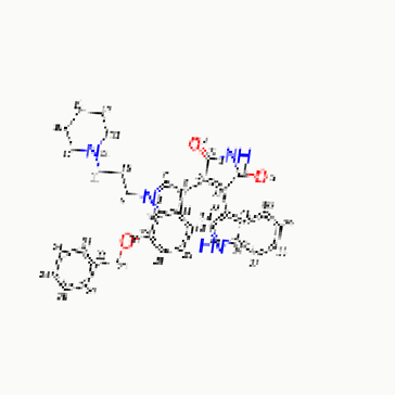 O=C1NC(=O)C(c2cn(CCCN3CCCCC3)c3c(OCc4ccccc4)cccc23)=C1c1c[nH]c2ccccc12